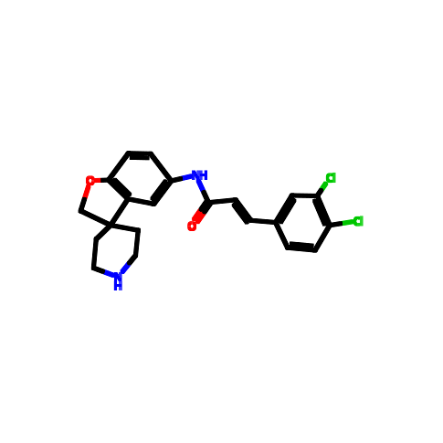 O=C(C=Cc1ccc(Cl)c(Cl)c1)Nc1ccc2c(c1)C1(CCNCC1)CO2